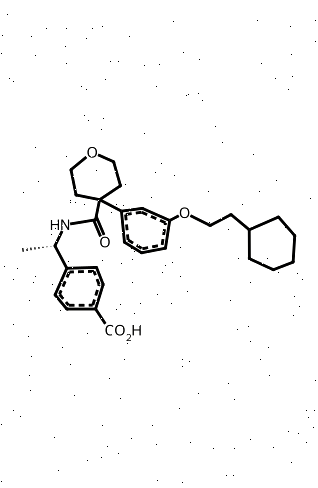 C[C@H](NC(=O)C1(c2cccc(OCCC3CCCCC3)c2)CCOCC1)c1ccc(C(=O)O)cc1